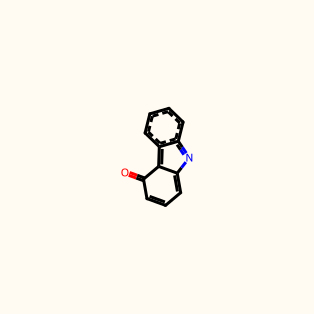 O=C1C=CC=C2N=c3ccccc3=C12